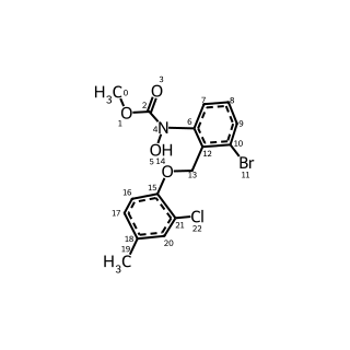 COC(=O)N(O)c1cccc(Br)c1COc1ccc(C)cc1Cl